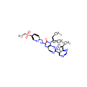 CC[C@@H](C)n1c(=O)c(NCc2ccc(S(=O)(=O)CC)cn2)nc2cnc(-c3cncnc3C(C)C)nc21